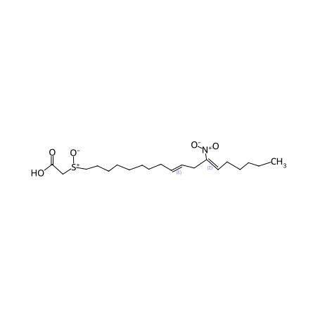 CCCCC/C=C(/C/C=C/CCCCCCCC[S+]([O-])CC(=O)O)[N+](=O)[O-]